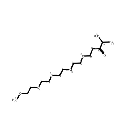 COCCOCCOCCOCCOCCC(=O)C(C)C